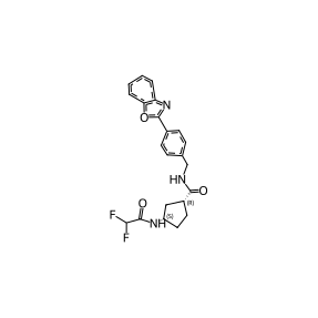 O=C(N[C@H]1CC[C@@H](C(=O)NCc2ccc(-c3nc4ccccc4o3)cc2)C1)C(F)F